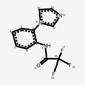 O=C(Nc1ccccc1-n1ccnc1)C(F)(F)F